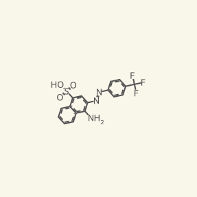 Nc1c(/N=N/c2ccc(C(F)(F)F)cc2)cc(S(=O)(=O)O)c2ccccc12